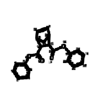 O=C(Oc1ccccc1)C1C2C=CC(C2)C1C(=O)Oc1ccccc1